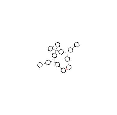 C1=CCCC(c2ccc(N(c3ccc(-c4ccccc4)cc3)c3ccc(C4(c5ccc(N(c6ccc(-c7ccccc7)cc6)c6ccc(-c7ccccc7)cc6)cc5)c5ccccc5-c5ccccc54)cc3)cc2)=C1